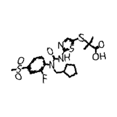 CC(C)(Sc1cnc(NC(=O)N(CC2CCCC2)c2ccc(S(C)(=O)=O)cc2F)s1)C(=O)O